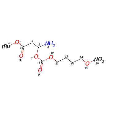 CC(C)(C)OC(=O)CC(N)OC(=O)OCCCCO[N+](=O)[O-]